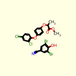 COC(=O)C(C)Oc1ccc(Oc2ccc(Cl)cc2Cl)cc1.N#Cc1cc(Br)c(O)c(Br)c1